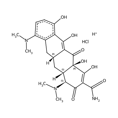 CN(C)c1ccc(O)c2c1C[C@H]1C[C@H]3[C@H](N(C)C)C(=O)C(C(N)=O)=C(O)[C@@]3(O)C(=O)C1=C2O.Cl.[H+]